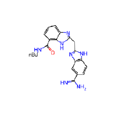 CCCCNC(=O)c1cccc2nc(Cc3nc4cc(C(=N)N)ccc4[nH]3)[nH]c12